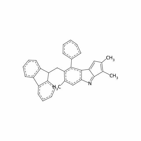 CC1=C(C)C2=Nc3cc(C)c(CC4c5ccccc5-c5ccccc54)c(-c4ccccc4)c3C2=C1